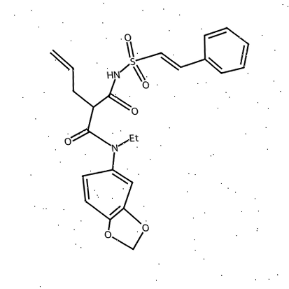 C=CCC(C(=O)NS(=O)(=O)C=Cc1ccccc1)C(=O)N(CC)c1ccc2c(c1)OCO2